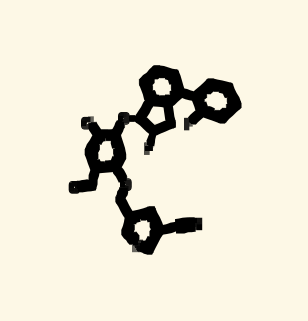 N#Cc1cncc(COc2cc(O[C@@H]3c4cccc(-c5ccccc5F)c4C[C@H]3F)c(Cl)cc2C=O)c1